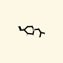 C=CC1CCN(CC(C)C)CC1